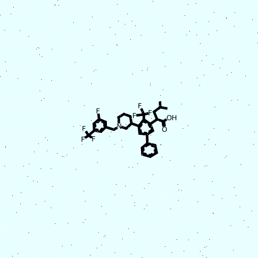 CC(C)CC(C(=O)O)c1cc(-c2ccccc2)cc(C2CCCN(Cc3cc(F)cc(C(F)(F)F)c3)C2)c1C(F)(F)F